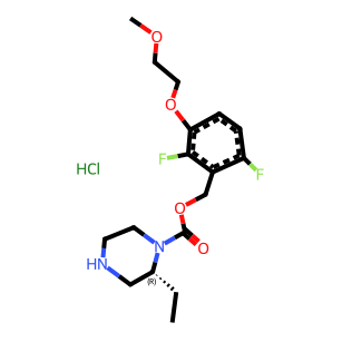 CC[C@@H]1CNCCN1C(=O)OCc1c(F)ccc(OCCOC)c1F.Cl